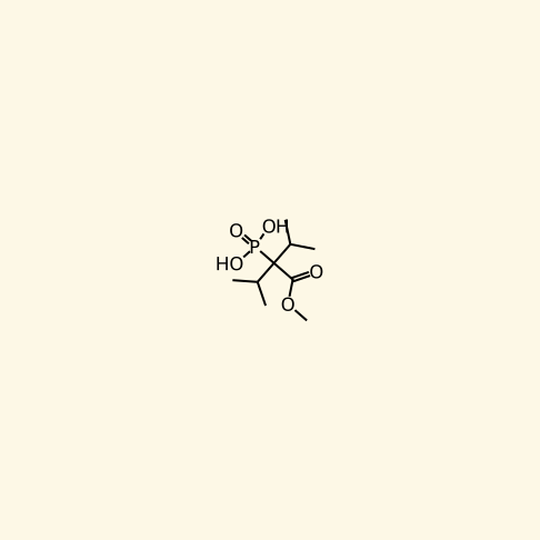 COC(=O)C(C(C)C)(C(C)C)P(=O)(O)O